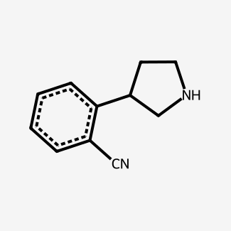 N#Cc1ccccc1C1CCNC1